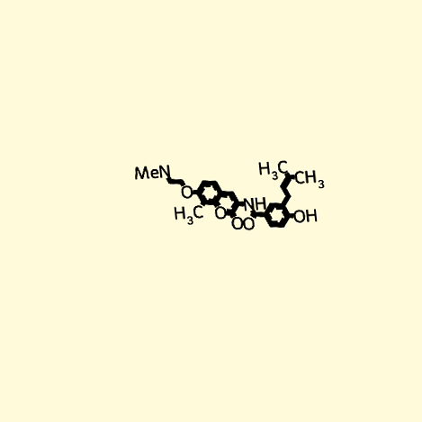 CNCCOc1ccc2cc(NC(=O)c3ccc(O)c(CC=C(C)C)c3)c(=O)oc2c1C